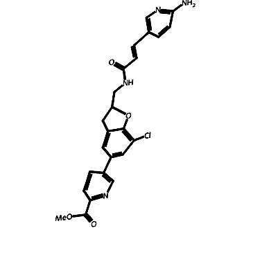 COC(=O)c1ccc(-c2cc(Cl)c3c(c2)CC(CNC(=O)/C=C/c2ccc(N)nc2)O3)cn1